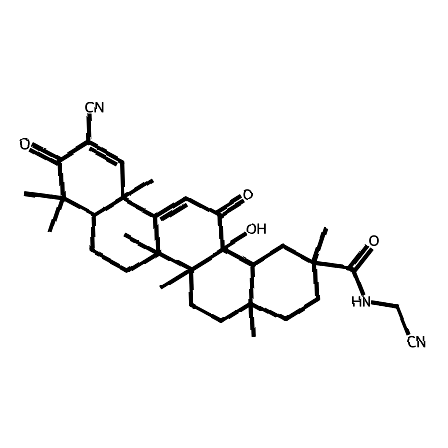 CC1(C(=O)NCC#N)CCC2(C)CCC3(C)C4(C)CCC5C(C)(C)C(=O)C(C#N)=CC5(C)C4=CC(=O)C3(O)C2C1